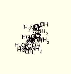 C[C@H]1[C@@H](O[C@H]2[C@@H](O)[C@H](O[C@@H]3[C@@H](O)[C@H](N)C[C@H](N)[C@H]3O[C@H]3OC(CO)=CC[C@H]3N)O[C@@H]2CO)O[C@@H](CN)[C@@H](O)[C@@H]1O